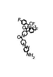 Nc1ccc(N2CCC(C(=O)N3CCC(C(=O)NC(c4ccc(F)cc4)C(F)(F)F)(c4ccc(F)cc4)CC3)CC2)nc1